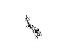 O=C(C#Cc1ccc(F)cn1)NCC1=CC2CN(C3(F)CCC(=O)NC3=O)C(=O)C2C=C1